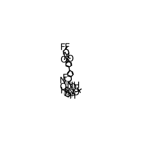 CC(C)(C)OC(=O)N1[C@@H]2CC[C@@H](C2)[C@H]1C(=O)N[C@H](C#N)Cc1ccc(-c2ccc(S(=O)(=O)N3CCC(F)(F)CC3)cc2)cc1F